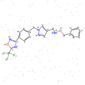 FC(F)(F)c1nc(-c2ccc(Cn3cc(CNOCc4ccccc4)cn3)cc2)no1